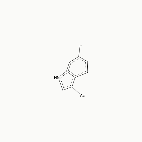 [CH2]c1ccc2c(C(C)=O)c[nH]c2c1